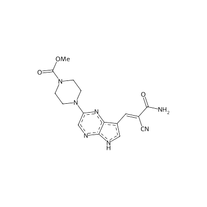 COC(=O)N1CCN(c2cnc3[nH]cc(/C=C(\C#N)C(N)=O)c3n2)CC1